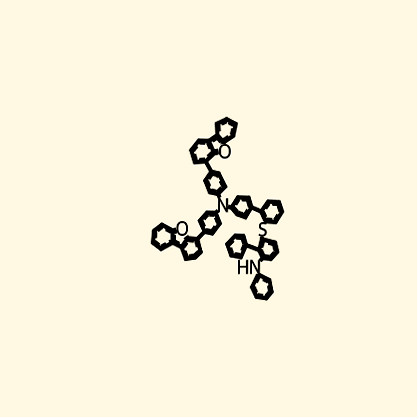 c1ccc(Nc2cccc(Sc3ccccc3-c3ccc(N(c4ccc(-c5cccc6c5oc5ccccc56)cc4)c4ccc(-c5cccc6c5oc5ccccc56)cc4)cc3)c2-c2ccccc2)cc1